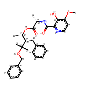 COc1ccnc(C(=O)N[C@@H](C)C(=O)O[C@@H](C)[C@H](Cc2ccccc2)C(C)(C)OCc2ccccc2)c1O